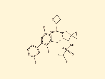 O=C([C@H]1CCO1)N1CC2(CC2)[C@H](NS(=O)(=O)C(F)F)[C@@H]1Cc1cc(F)cc(-c2cccc(F)c2)c1F